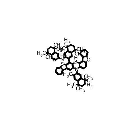 Cc1cc2c(cc1N1c3cc4c(sc5ccccc54)c(-c4cc5c(cc4Nc4ccc6c(c4)C(C)(C)CCC6(C)C)C(C)(C)CCC5(C)C)c3Bc3c1ccc1oc4ccccc4c31)C(C)(C)CCC2(C)C